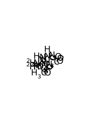 [2H]C([2H])([2H])NC(=O)c1nnc(Nc2ccc(C3(C)OCCCO3)cn2)cc1Nc1ncccc1S(C)(=O)=O